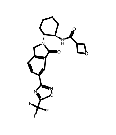 O=C(N[C@@H]1CCCC[C@H]1N1Cc2ccc(-c3noc(C(F)(F)F)n3)cc2C1=O)C1COC1